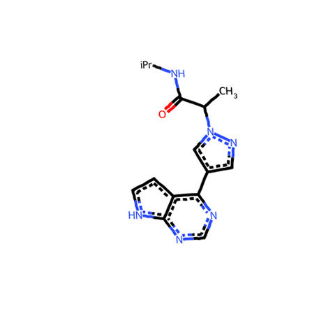 CC(C)NC(=O)C(C)n1cc(-c2ncnc3[nH]ccc23)cn1